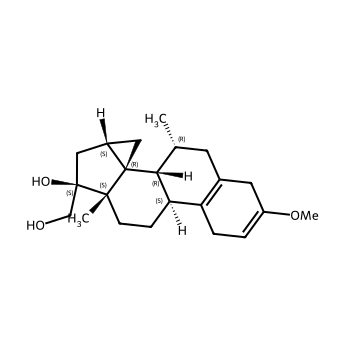 COC1=CCC2=C(C1)C[C@@H](C)[C@@H]1[C@@H]2CC[C@]2(C)[C@](O)(CO)C[C@@H]3C[C@@]312